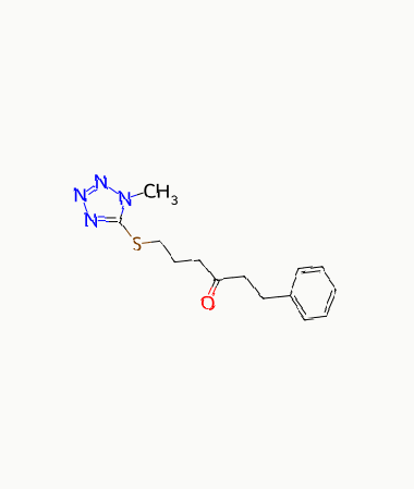 Cn1nnnc1SCCCC(=O)CCc1ccccc1